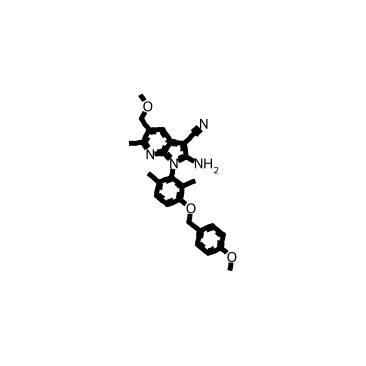 COCc1cc2c(C#N)c(N)n(-c3c(C)ccc(OCc4ccc(OC)cc4)c3C)c2nc1C